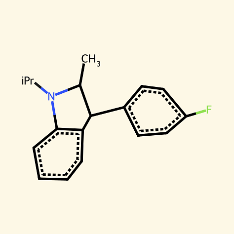 CC(C)N1c2ccccc2C(c2ccc(F)cc2)C1C